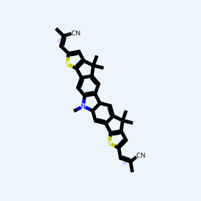 C/C(C#N)=C/c1cc2c(s1)C1=CC3C(C=C1C2(C)C)c1cc2c(cc1N3C)-c1sc(/C=C(/C)C#N)cc1C2(C)C